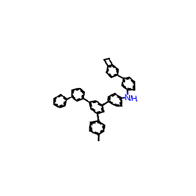 Cc1ccc(-c2cc(-c3ccc(Nc4cccc(-c5ccc6c(c5)CC6)c4)cc3)cc(-c3cccc(-c4ccccc4)c3)c2)cc1